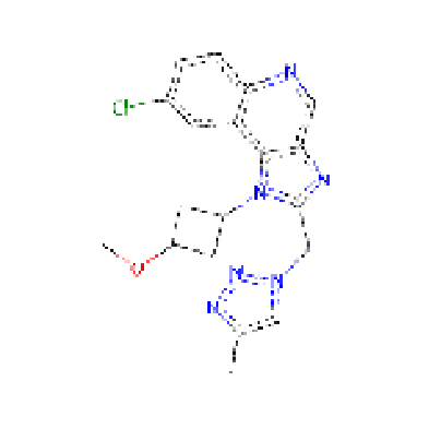 COC1CC(n2c(Cn3cc(C)nn3)nc3cnc4ccc(Cl)cc4c32)C1